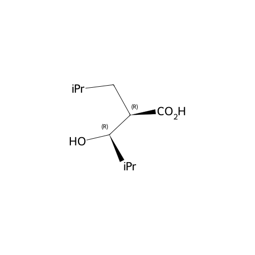 CC(C)C[C@@H](C(=O)O)[C@H](O)C(C)C